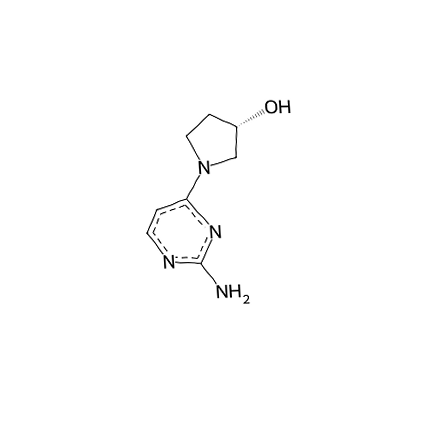 Nc1nccc(N2CC[C@H](O)C2)n1